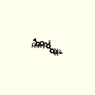 CCOc1ncc2ccc(-c3cc(F)c(CC4CCC5(CC4)CC(C4CC4)C(=O)NN5)c(F)c3)cc2n1